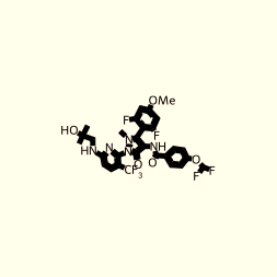 COc1cc(F)c(-c2c(NC(=O)c3ccc(OC(F)F)cc3)c(=O)n(-c3nc(NCC(C)(C)O)ccc3C(F)(F)F)n2C)c(F)c1